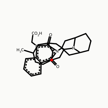 CC1CCC2CC(C1)CC(N1C3CCCC1CC(n1c(=O)c4ccccc4n(CC(=O)O)c1=O)C3)C2